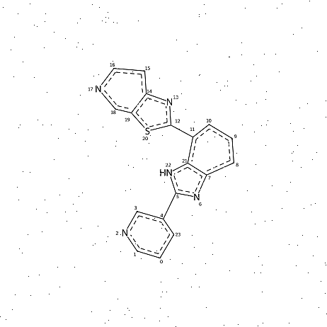 c1cncc(-c2nc3cccc(-c4nc5ccncc5s4)c3[nH]2)c1